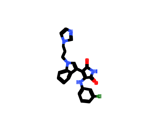 O=C1NC(=O)C(c2cn(CCCn3ccnc3)c3ccccc23)=C1Nc1cccc(Cl)c1